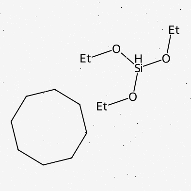 C1CCCCCCC1.CCO[SiH](OCC)OCC